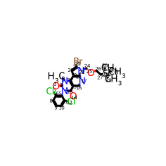 Cn1c(=O)n(-c2c(Cl)cccc2Cl)c(=O)c2cnc3c(cc(Br)n3COCC[Si](C)(C)C)c21